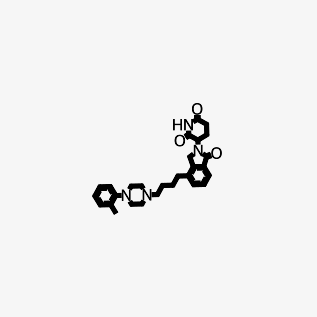 Cc1ccccc1N1CCN(CCCCc2cccc3c2CN(C2CCC(=O)NC2=O)C3=O)CC1